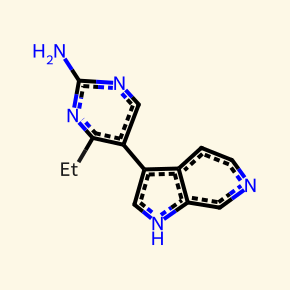 CCc1nc(N)ncc1-c1c[nH]c2cnccc12